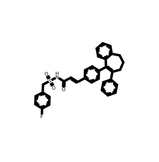 O=C(/C=C/c1ccc(C2=C(c3ccccc3)CCCc3ccccc32)cc1)NS(=O)(=O)Cc1ccc(F)cc1